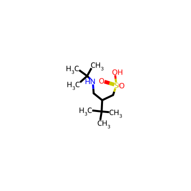 CC(C)(C)NCC(CS(=O)(=O)O)C(C)(C)C